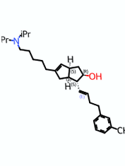 Cc1cccc(CC/C=C/[C@@H]2[C@H]3CC(CCCCCN(C(C)C)C(C)C)=C[C@H]3C[C@H]2O)c1